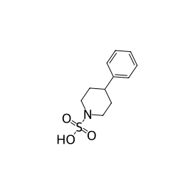 O=S(=O)(O)N1CCC(c2ccccc2)CC1